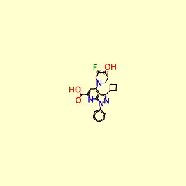 O=C(O)c1cc(N2CC[C@H](O)[C@H](F)C2)c2c(C3CCC3)nn(-c3ccccc3)c2n1